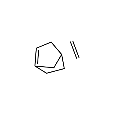 C1=C2CCC(C1)C2.C=C